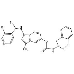 CCC(Nn1cc(C)c2cc(OC(=O)NN3CCc4ccccc4C3)ccc21)c1ccncc1F